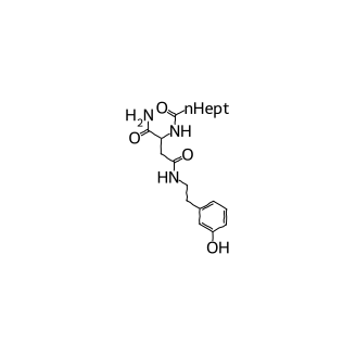 CCCCCCCC(=O)NC(CC(=O)NCCc1cccc(O)c1)C(N)=O